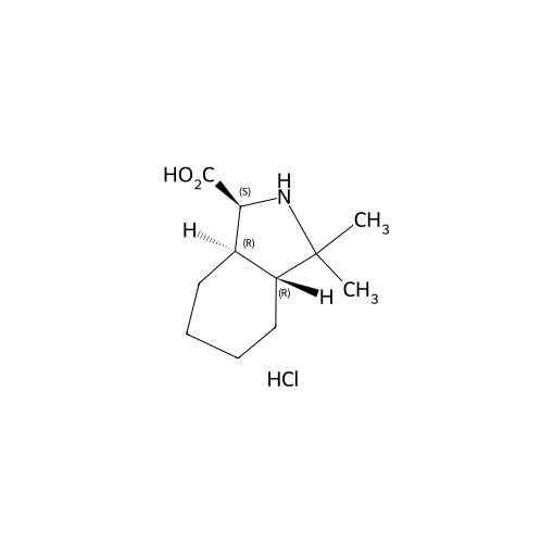 CC1(C)N[C@H](C(=O)O)[C@@H]2CCCC[C@H]21.Cl